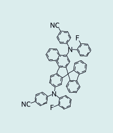 N#Cc1ccc(N(c2ccc3c(c2)C2(c4ccccc4-c4ccccc42)c2cc(N(c4ccc(C#N)cc4)c4ccccc4F)c4ccccc4c2-3)c2ccccc2F)cc1